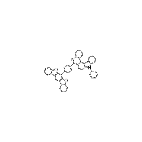 c1ccc(-n2c3ccccc3c3c4c(ccc32)c(-c2ccc(-c3c5oc6ccccc6c5cc5c3oc3ccccc35)cc2)nc2ccccc24)cc1